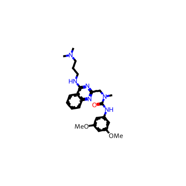 COc1cc(NC(=O)N(C)Cc2nc(NCCCN(C)C)c3ccccc3n2)cc(OC)c1